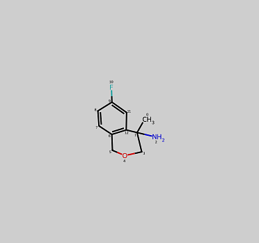 CC1(N)COCc2ccc(F)cc21